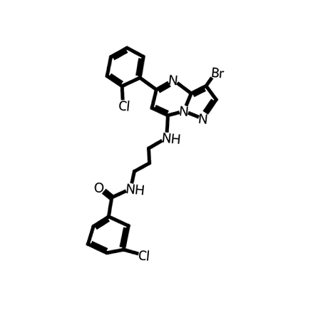 O=C(NCCCNc1cc(-c2ccccc2Cl)nc2c(Br)cnn12)c1cccc(Cl)c1